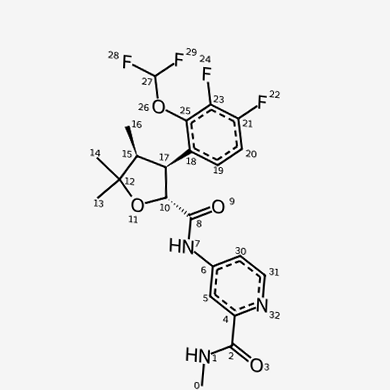 CNC(=O)c1cc(NC(=O)[C@@H]2OC(C)(C)[C@@H](C)[C@H]2c2ccc(F)c(F)c2OC(F)F)ccn1